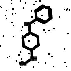 CC(C)(C)NC1CCC(Nc2ccccc2)CC1